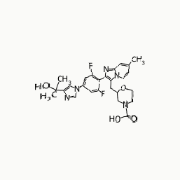 Cc1ccn2c(CC3CN(C(=O)O)CCO3)c(-c3c(F)cc(-n4cnc(C(C)(C)O)c4)cc3F)nc2c1